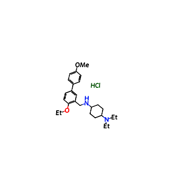 CCOc1ccc(-c2ccc(OC)cc2)cc1CNC1CCC(N(CC)CC)CC1.Cl